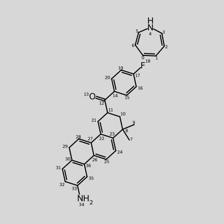 C1=CC=CNC=C1.CC1(C)CC(C(=O)c2ccc(F)cc2)C=c2c1ccc1c2=CCc2ccc(N)cc2-1